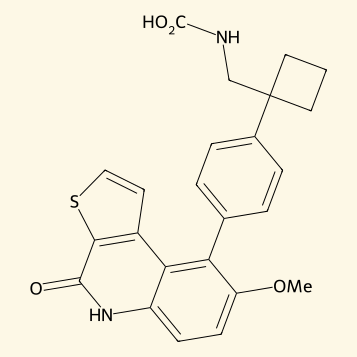 COc1ccc2[nH]c(=O)c3sccc3c2c1-c1ccc(C2(CNC(=O)O)CCC2)cc1